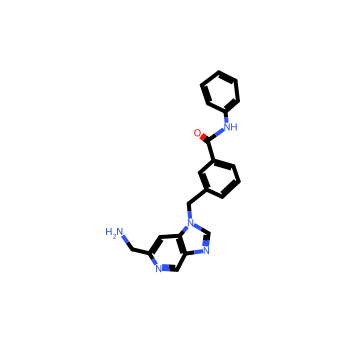 NCc1cc2c(cn1)ncn2Cc1cccc(C(=O)Nc2ccccc2)c1